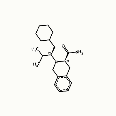 CC(C)[C@@H](CC1CCCCC1)N1Cc2ccccc2C[C@@H]1C(N)=O